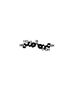 O=C(O)[C@@H](Cc1ccc(Nc2cccc(C[C@H](C(=O)O)[C@H]3CCNC3)c2)cc1)[C@H]1CCNC1